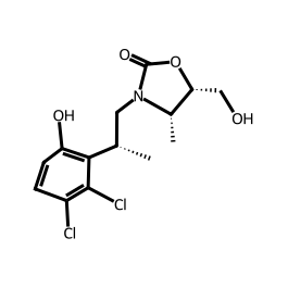 C[C@@H](CN1C(=O)O[C@H](CO)[C@@H]1C)c1c(O)ccc(Cl)c1Cl